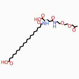 CC(=O)COCCOCCNC(=O)CC[C@H](NC(=O)CCCCCCCCCCCCCCCCCCC(=O)O)C(=O)O